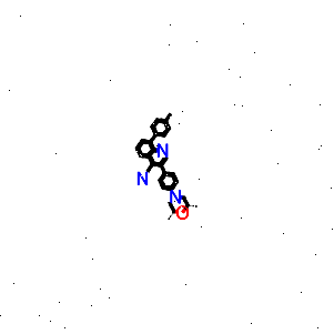 Cc1ccc(-c2cccc3c(C#N)c(-c4ccc(N5C[C@@H](C)O[C@@H](C)C5)cc4)cnc23)cc1